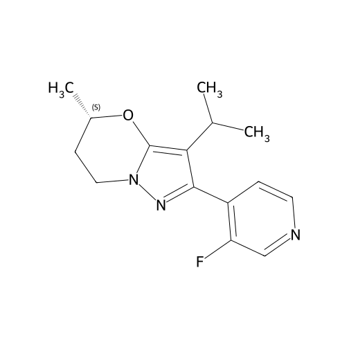 CC(C)c1c(-c2ccncc2F)nn2c1O[C@@H](C)CC2